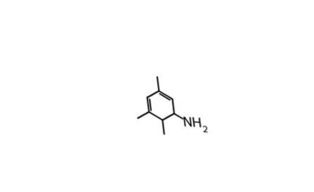 CC1=CC(N)C(C)C(C)=C1